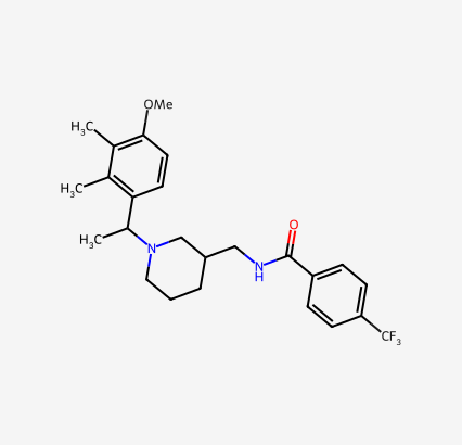 COc1ccc(C(C)N2CCCC(CNC(=O)c3ccc(C(F)(F)F)cc3)C2)c(C)c1C